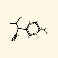 CC(C)C(C#N)c1ccc(Cl)nc1